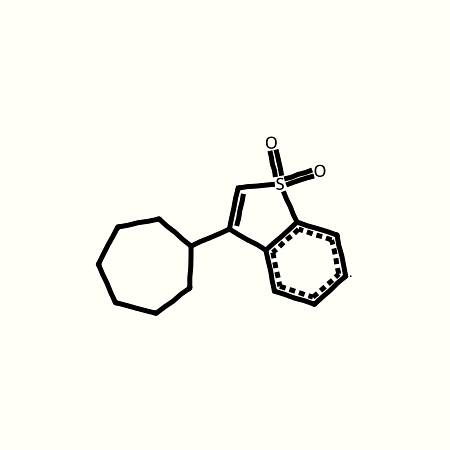 O=S1(=O)C=C(C2CCCCCC2)c2cc[c]cc21